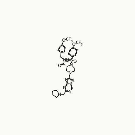 O=C(NCc1ccc(OC(F)(F)F)cc1)[C@H]1CN(c2nc3nc(CN4CCCC4)ncc3s2)CCN1S(=O)(=O)c1ccc(OC(F)(F)F)cc1